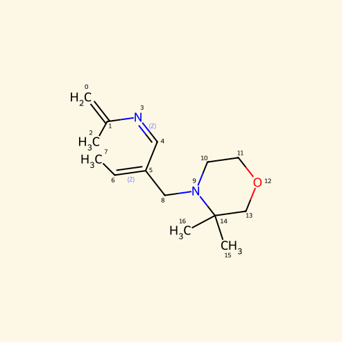 C=C(C)/N=C\C(=C/C)CN1CCOCC1(C)C